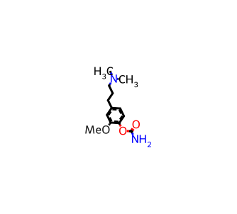 COc1cc(CCCN(C)C)ccc1OC(N)=O